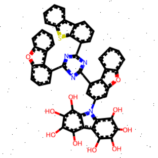 Oc1c(O)c(O)c2c(c1O)c1c(O)c(O)c(O)c(O)c1n2-c1cc(-c2nc(-c3cccc4c3sc3ccccc34)nc(-c3cccc4oc5ccccc5c34)n2)c2c(c1)oc1ccccc12